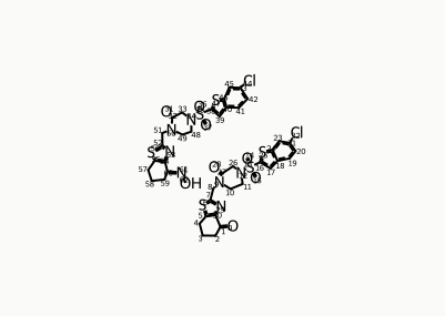 O=C1CCCc2sc(CN3CCN(S(=O)(=O)c4cc5ccc(Cl)cc5s4)CC3=O)nc21.O=C1CN(S(=O)(=O)c2cc3ccc(Cl)cc3s2)CCN1Cc1nc2c(s1)CCC/C2=N\O